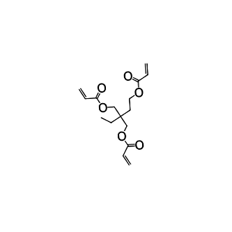 C=CC(=O)OCCC(CC)(COC(=O)C=C)COC(=O)C=C